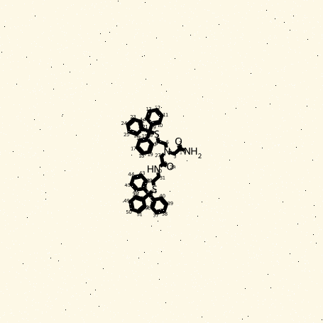 NC(=O)CN(CCSC(c1ccccc1)(c1ccccc1)c1ccccc1)CC(=O)NCCSC(c1ccccc1)(c1ccccc1)c1ccccc1